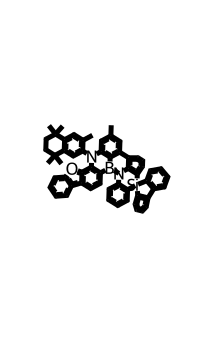 Cc1cc2c3c(c1)N(c1cc4c(cc1C)C(C)(C)CCC4(C)C)c1c(ccc4c1oc1ccccc14)B3N1c3ccccc3[Si]3(c4ccccc4-c4ccccc43)c3cccc-2c31